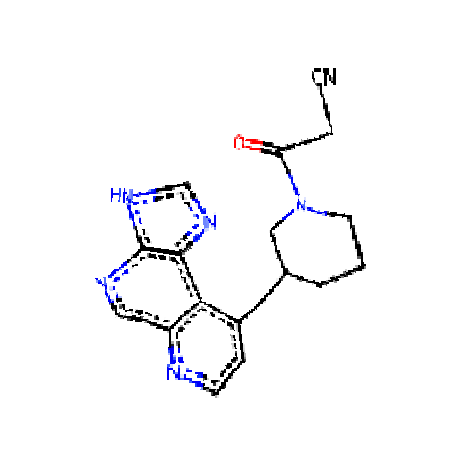 N#CCC(=O)N1CCCC(c2ccnc3cnc4[nH]cnc4c23)C1